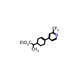 CCOC(=O)C(C)C1CC=C(c2ccnc(C(F)(F)F)c2)CC1